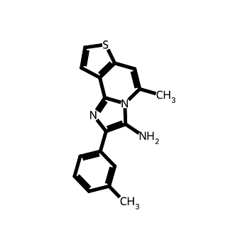 Cc1cccc(-c2nc3c4ccsc4cc(C)n3c2N)c1